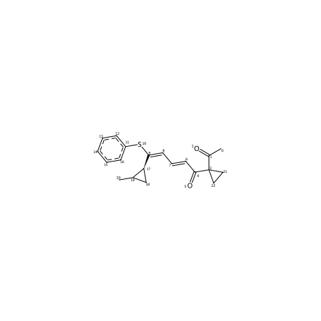 CC(=O)C1(C(=O)/C=C/C=C(/Sc2ccccc2)[C@H]2CC2C)CC1